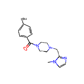 Cn1ccnc1CN1CCN(C(=O)c2ccc(C(C)(C)C)cc2)CC1